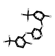 FC(F)(F)c1ccc(Cl)c(Oc2cc(Oc3cc(C(F)(F)F)ccc3Br)ncn2)c1